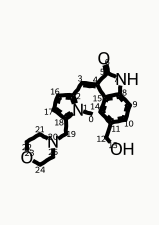 Cn1c(C=C2C(=O)Nc3ccc(CO)cc32)ccc1CN1CCOCC1